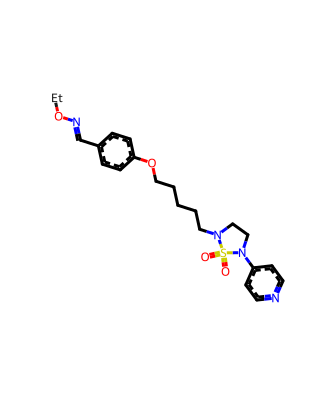 CCON=Cc1ccc(OCCCCCN2CCN(c3ccncc3)S2(=O)=O)cc1